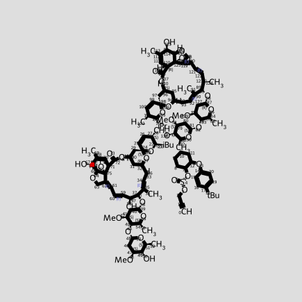 C#CCOS(=O)OC1CCCCC1Oc1ccc(C(C)(C)C)cc1.CC[C@H](C)[C@H]1O[C@]2(C=C[C@@H]1C)C[C@@H]1C[C@@H](C/C=C(\C)[C@@H](O[C@H]3C[C@H](OC)[C@@H](O[C@H]4C[C@H](OC)[C@@H](O)[C@H](C)O4)[C@H](C)O3)[C@@H](C)/C=C/C=C3\CO[C@@H]4[C@H](O)C(C)=C[C@@H](C(=O)O1)[C@]34O)O2.CO[C@H]1C[C@H](O[C@H]2[C@H](C)O[C@@H](O[C@@H]3/C(C)=C/C[C@@H]4C[C@@H](C[C@]5(C=C[C@H](C)[C@@H](C(C)C)O5)O4)OC(=O)[C@@H]4C=C(C)[C@@H](O)[C@H]5OC/C(=C\C=C\[C@@H]3C)[C@]54O)C[C@@H]2OC)O[C@@H](C)[C@@H]1O